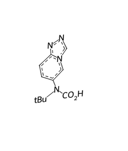 CC(C)(C)N(C(=O)O)c1ccc2nncn2c1